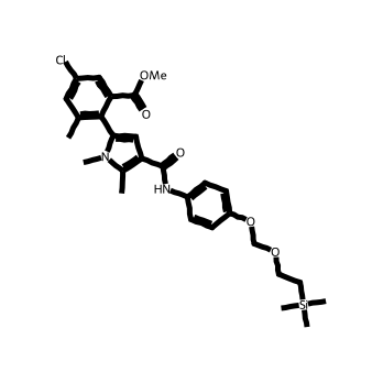 COC(=O)c1cc(Cl)cc(C)c1-c1cc(C(=O)Nc2ccc(OCOCC[Si](C)(C)C)cc2)c(C)n1C